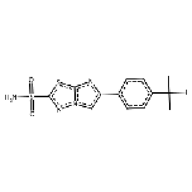 CC(C)(I)c1ccc(-c2cn3nc(S(N)(=O)=O)sc3n2)cc1